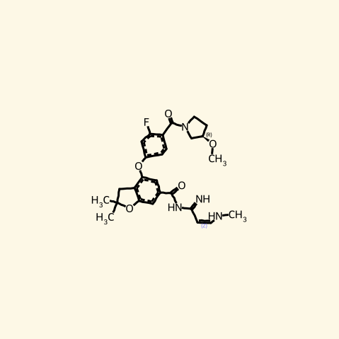 CN/C=C\C(=N)NC(=O)c1cc(Oc2ccc(C(=O)N3CC[C@@H](OC)C3)c(F)c2)c2c(c1)OC(C)(C)C2